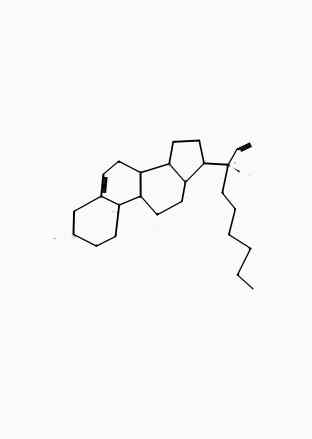 C=C[C@](O)(CCCCCC)C1CCC2C3CC=C4C[C@@H](O)CC[C@]4(C)C3CC[C@@]21C